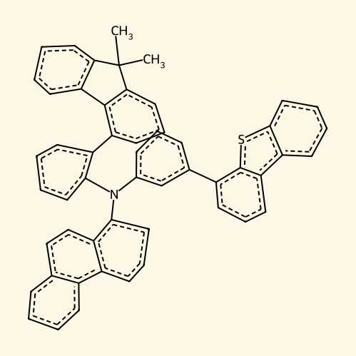 CC1(C)c2ccccc2-c2c(-c3ccccc3N(c3cccc(-c4cccc5c4sc4ccccc45)c3)c3cccc4c3ccc3ccccc34)cccc21